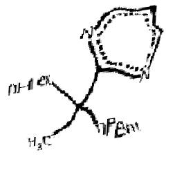 CCCCCCC(C)(CCCCC)c1ncccn1